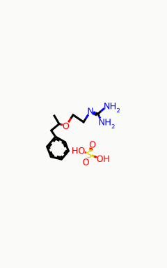 CC(Cc1ccccc1)OCCN=C(N)N.O=S(=O)(O)O